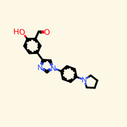 O=Cc1cc(-c2cn(-c3ccc(N4CCCC4)cc3)cn2)ccc1O